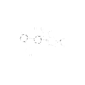 CCOc1ncccc1-c1ccc(N2CCN(C(=O)O)CC2CC)c(CN)c1